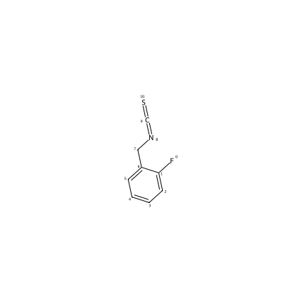 Fc1ccccc1CN=C=S